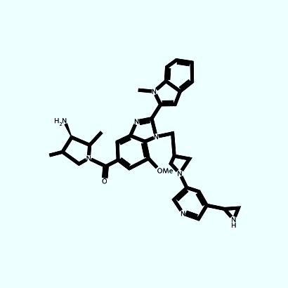 COc1cc(C(=O)N2CC(C)[C@@H](N)C2C)cc2nc(-c3cc4ccccc4n3C)n(CC3CN(c4cncc(C5CN5)c4)C3)c12